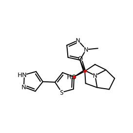 Cn1nccc1C1(O)CC2CCC(C1)N2C(=O)c1csc(-c2cn[nH]c2)c1